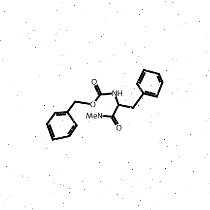 CNC(=O)C(Cc1ccccc1)NC(=O)OCc1ccccc1